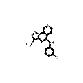 O=C(O)c1nnn2c1nc(Nc1cccc(Cl)c1)c1ccncc12